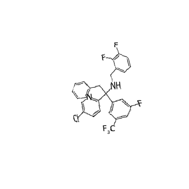 Fc1cc(C(F)(F)F)cc(C(Cc2ccccc2)(NCc2cccc(F)c2F)c2ccc(Cl)cn2)c1